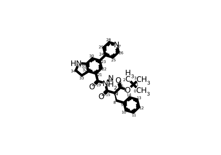 CC(C)(C)OC(=O)[C@@H](Cc1ccccc1)C(=O)N(N)C(=O)c1cc(-c2ccncc2)cc2c1CCN2